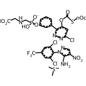 CCCCCCCCSC(=O)Oc1cc(Cl)nnc1-c1ccccc1.C[S+](C)C.Nc1c([N+](=O)[O-])cnn1-c1c(Cl)cc(C(F)(F)F)cc1Cl.O=C(O)CNCP(=O)([O-])O